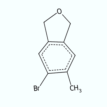 Cc1cc2c(cc1Br)COC2